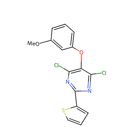 COc1cccc(Oc2c(Cl)nc(-c3cccs3)nc2Cl)c1